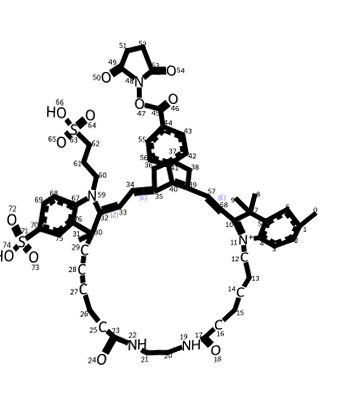 Cc1ccc2c(c1)C(C)(C)C1=[N+]2CCCCCC(=O)NCCNC(=O)CCCCCC2(C)/C(=C/C=C3\CCCC(=C3c3ccc(C(=O)ON4C(=O)CCC4=O)cc3)/C=C/1)N(CCCS(=O)(=O)O)c1ccc(S(=O)(=O)O)cc12